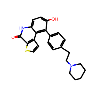 O=c1[nH]c2ccc(O)c(-c3ccc(CCN4CCCCC4)cc3)c2c2ccsc12